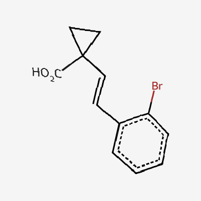 O=C(O)C1(/C=C/c2ccccc2Br)CC1